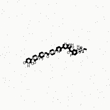 CCN(C)S(=O)(=O)Nc1ccc(F)c(C(=O)c2c[nH]c3ncc(-c4ccc(N5CCN(C(=O)CN6CCC(N7CCN(C8CCC(=O)NC8=O)C(=O)C7)C(F)(F)C6)CC5)nc4)cc23)c1F